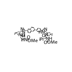 COC(=O)NCC(C)CC(=O)N1CC2(CC2)CC1c1ncc(-c2ccc3cc(-c4ccc(-c5cnc(C6CC7(CC7)CN6C(=O)C(NC(=O)OC)C(C)C)[nH]5)cc4)ccc3c2)[nH]1